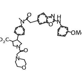 COc1cccc(Nc2nc3ccc(CC(=O)N(C)c4ccc(C5CN(C(=O)CN6CCOCC6)CC5C(=O)O)cc4)cc3o2)c1